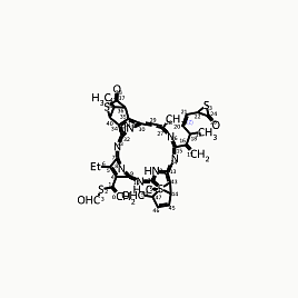 C=C(SC=O)C1=C(CC)c2nc1nc1[nH]c(nc(C(=C)C(C)/C=C\C3SC3=O)nc(C)cc3[nH]c(n2)c2c3C3C(=O)SC2C3C)=C2C3C=CC(C=O)S=123C